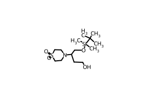 CC(C)(C)[Si](C)(C)OCC(CCO)N1CCS(=O)(=O)CC1